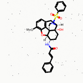 COc1ccc2c3c1O[C@@H]1[C@@H](NC(=O)/C=C/c4ccccc4)CC[C@]4(O)[C@H](C2)N(S(=O)(=O)c2ccccc2)CC[C@@]314